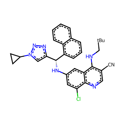 CC(C)(C)CNc1c(C#N)cnc2c(Cl)cc(N[C@H](c3cn(C4CC4)nn3)c3cccc4ccccc34)cc12